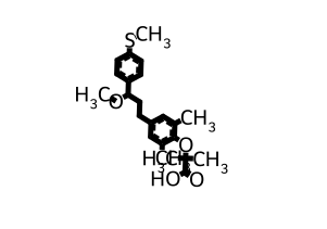 COC(CCc1cc(C)c(OC(C)(C)C(=O)O)c(C)c1)c1ccc(SC)cc1